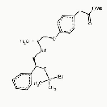 COC(=O)Cc1ccc(OC[C@@H](C)NC[C@@H](O[Si](C)(C)C(C)(C)C)c2ccccc2)cc1